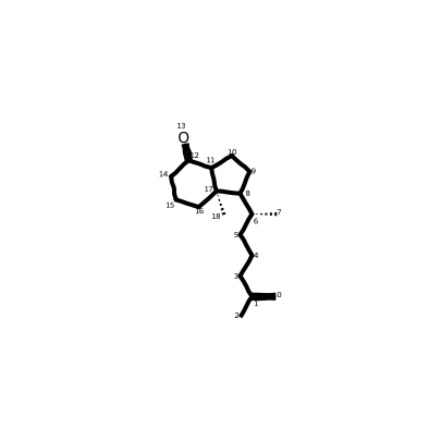 C=C(C)CCC[C@@H](C)C1CCC2C(=O)CCC[C@@]21C